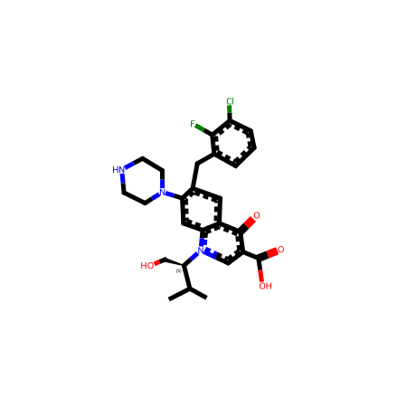 CC(C)[C@@H](CO)n1cc(C(=O)O)c(=O)c2cc(Cc3cccc(Cl)c3F)c(N3CCNCC3)cc21